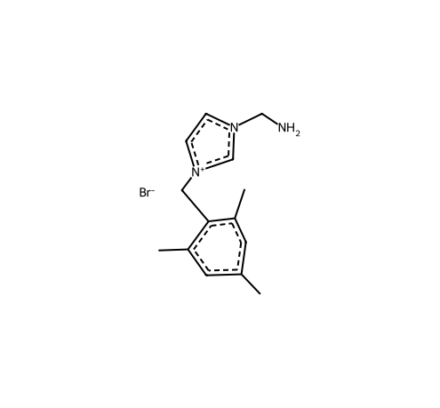 Cc1cc(C)c(C[n+]2ccn(CN)c2)c(C)c1.[Br-]